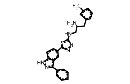 N[C@@H](CNc1nnc(-c2ccc3[nH]nc(-c4ccccc4)c3c2)s1)Cc1cccc(C(F)(F)F)c1